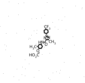 Cc1cc(NC(=O)c2nn(-c3ccc(C(F)(F)F)cc3)nc2C)ccc1OCC(=O)O